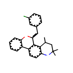 CC1CC(C)(C)Nc2ccc3c(c21)/C(=C/c1cccc(F)c1)Oc1ccccc1-3